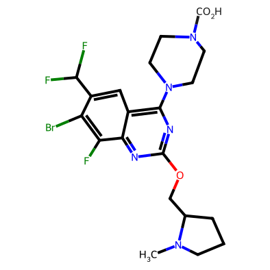 CN1CCCC1COc1nc(N2CCN(C(=O)O)CC2)c2cc(C(F)F)c(Br)c(F)c2n1